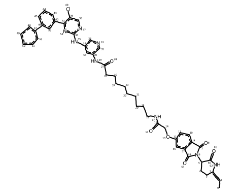 C/C=C1\CCC(N2C(=O)c3ccc(OCC(=O)NCCCCCCCCCC(=O)Nc4cncc(Nc5ncc(Cl)c(-c6cccc(-c7ccccc7)c6)n5)c4)cc3C2=O)C(=O)N1